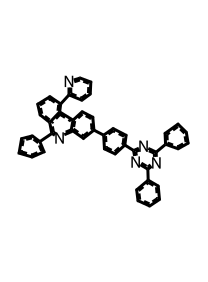 c1ccc(-c2nc(-c3ccccc3)nc(-c3ccc(-c4ccc5c(c4)nc(-c4ccccc4)c4cccc(-c6ccccn6)c45)cc3)n2)cc1